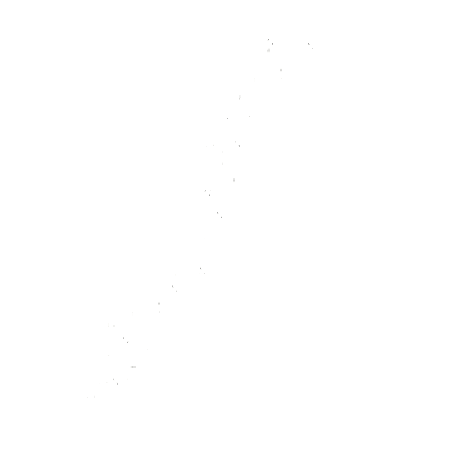 C[C@@H]1CN(c2ccc3c(c2)C(=O)N(C2CCC(=O)NC2=O)C3=O)CCN1CC1CCN(c2ccc(C(=O)N[C@H]3C(C)(C)[C@H](Oc4ccc(C#N)c5ncccc45)C3(C)C)cn2)CC1